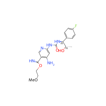 COCCOC(=N)c1cnc(NC(=O)N[C@@H](c2ccc(F)cc2)[C@H](C)O)cc1N